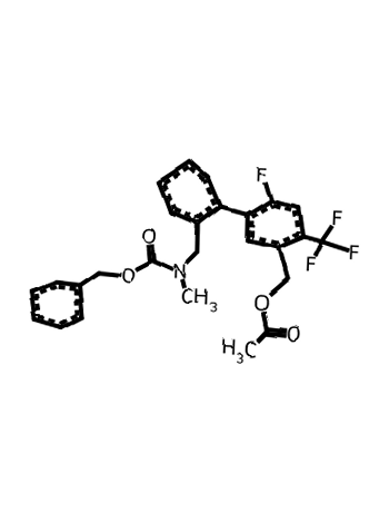 CC(=O)OCc1cc(-c2ccccc2CN(C)C(=O)OCc2ccccc2)c(F)cc1C(F)(F)F